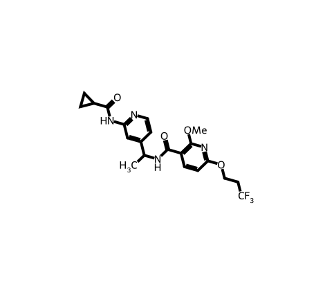 COc1nc(OCCC(F)(F)F)ccc1C(=O)NC(C)c1ccnc(NC(=O)C2CC2)c1